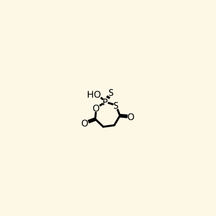 O=C1CCC(=O)SP(O)(=S)O1